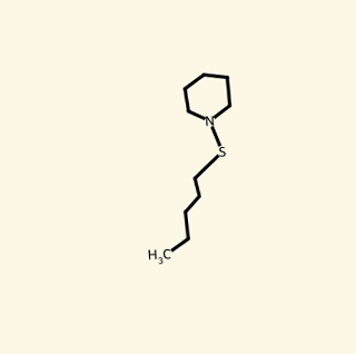 CCCCCSN1CCCCC1